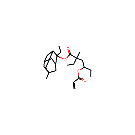 C=CC(=O)OC(CC)CC(C)(CC)C(=O)OC1(CC)C2CC3CC1CC(C)(C3)C2